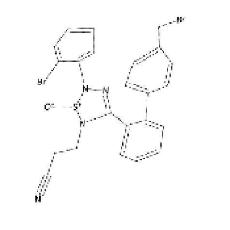 N#CCCN1C(c2ccccc2-c2ccc(CBr)cc2)=NN(c2ccccc2Br)[S+]1[O-]